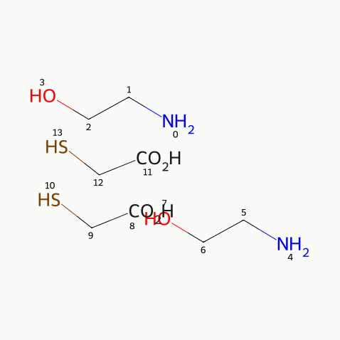 NCCO.NCCO.O=C(O)CS.O=C(O)CS